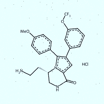 COc1ccc(-c2c(-c3cccc(OC(F)(F)F)c3)cc3n2[C@@H](CCN)CNC3=O)cc1.Cl